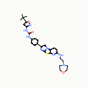 CC(C)(C)c1cc(NC(=O)Nc2ccc(-c3cn4c(n3)sc3nc(NCCN5CCOCC5)ccc34)cc2)no1